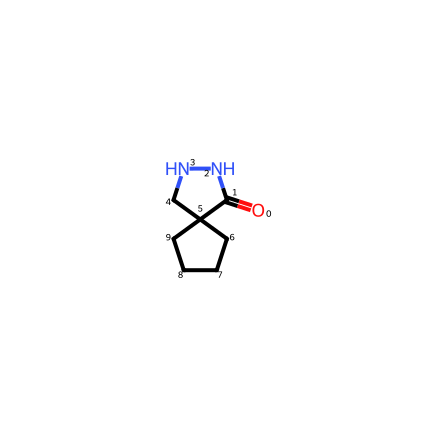 O=C1NNCC12CCCC2